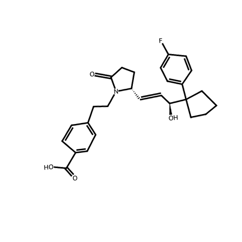 O=C(O)c1ccc(CCN2C(=O)CC[C@@H]2/C=C/[C@H](O)C2(c3ccc(F)cc3)CCCC2)cc1